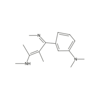 C/N=C(\C(C)=C(/C)NC)c1cccc(N(C)C)c1